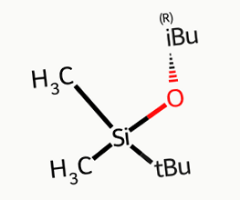 CC[C@@H](C)O[Si](C)(C)C(C)(C)C